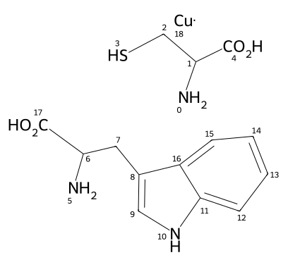 NC(CS)C(=O)O.NC(Cc1c[nH]c2ccccc12)C(=O)O.[Cu]